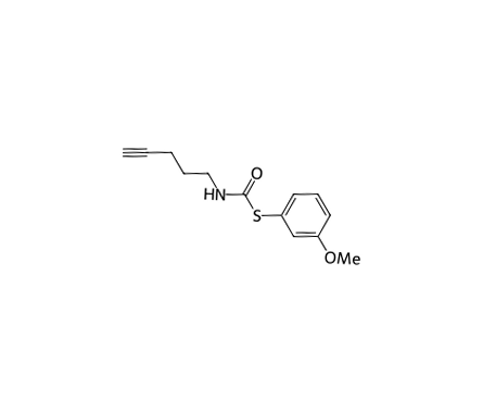 C#CCCCNC(=O)Sc1cccc(OC)c1